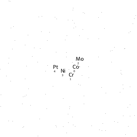 [Co].[Cr].[Mo].[Ni].[Pt]